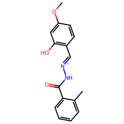 COc1ccc(/C=N/NC(=O)c2ccccc2C)c(O)c1